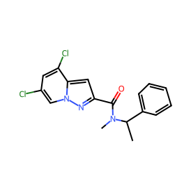 CC(c1ccccc1)N(C)C(=O)c1cc2c(Cl)cc(Cl)cn2n1